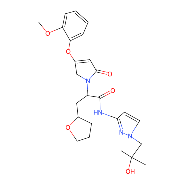 COc1ccccc1OC1=CC(=O)N(C(CC2CCCO2)C(=O)Nc2ccn(CC(C)(C)O)n2)C1